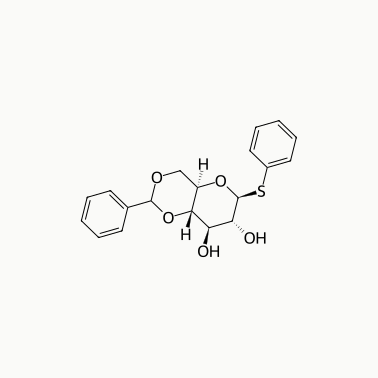 O[C@@H]1[C@@H](O)[C@H](Sc2ccccc2)O[C@@H]2COC(c3ccccc3)O[C@@H]12